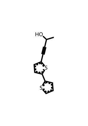 CC(O)C#Cc1ccc(-c2cccs2)s1